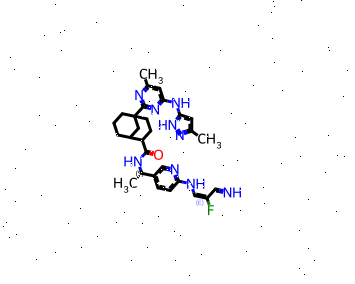 Cc1cc(Nc2cc(C)nc(C34CCCC(C3)C(C(=O)N[C@@H](C)c3ccc(N/C=C(/F)C=N)nc3)CC4)n2)[nH]n1